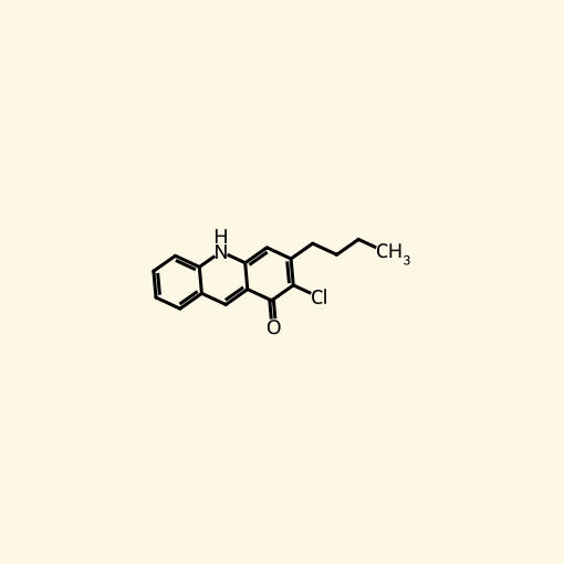 CCCCc1cc2[nH]c3ccccc3cc-2c(=O)c1Cl